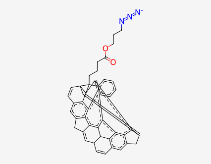 [N-]=[N+]=NCCCOC(=O)CCCC1(c2ccccc2)C23C=Cc4cc5c6c7c8c9c%10c%11c(cc%12c%10c(c%10c9c6c4C%1021)C(=C3)C%12)C=CC(C=C7C5)C%118